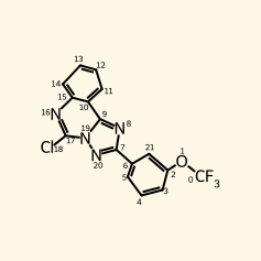 FC(F)(F)Oc1cccc(-c2nc3c4ccccc4nc(Cl)n3n2)c1